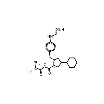 C[C@H](N)C(=O)NC(=O)[C@@H]1CC(C2CCCCC2)CN1Cc1ccc(NCC(=O)O)cc1